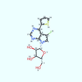 OC[C@H]1O[C@@H](n2cc(F)c3c(-c4cccs4)ncnc32)[C@H](O)C1O